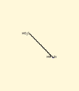 CC/C=C\CC(O)C=CC=CCC=CCC=CCC=CCCCCCCCCCCCCCCC(=O)O